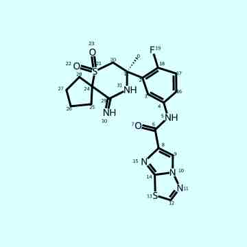 C[C@@]1(c2cc(NC(=O)c3cn4ncsc4n3)ccc2F)CS(=O)(=O)C2(CCCC2)C(=N)N1